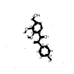 C=C(C(=O)c1ccc(CO)c(OC)c1OC)c1ccc(C)cc1